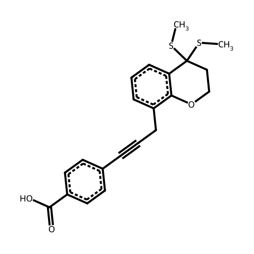 CSC1(SC)CCOc2c(CC#Cc3ccc(C(=O)O)cc3)cccc21